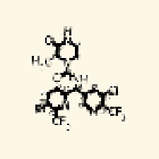 C[C@@H]1C(=O)NCCN1C(=O)N[C@H](c1cnc(C(F)(F)F)c(Cl)c1)c1ccc(F)c(C(F)(F)F)n1